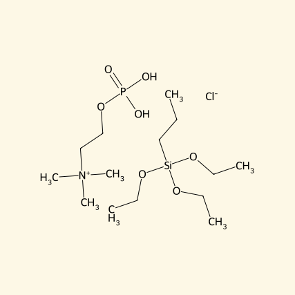 CCC[Si](OCC)(OCC)OCC.C[N+](C)(C)CCOP(=O)(O)O.[Cl-]